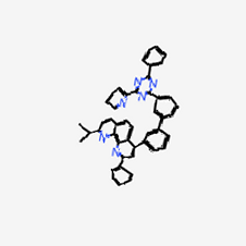 CC(C)c1ccc2ccc3c(-c4cccc(-c5cccc(-c6nc(-c7ccccc7)nc(-c7ccccn7)n6)c5)c4)cc(-c4ccccc4)nc3c2n1